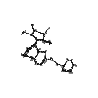 CN1C(=O)C(Br)=C(c2c[nH]c3ccc(OCc4ccccc4)cc23)C1=O